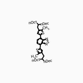 CCCCCCCCCCC(CCCCCCCC)Cc1cc(-c2ccc(-c3cc(CC(CCCCCCCC)CCCCCCCCCC)c(C)s3)c3nsnc23)sc1C